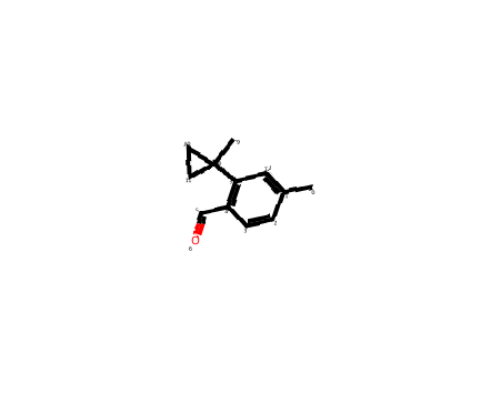 Cc1ccc(C=O)c(C2(C)CC2)c1